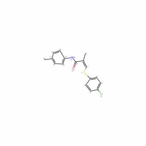 CC(=CSc1ccc(Cl)cc1)C(=O)Nc1ccc(C)cc1